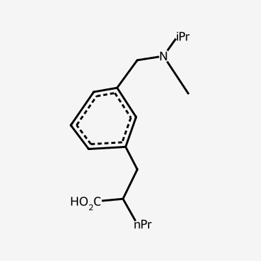 CCCC(Cc1cccc(CN(C)C(C)C)c1)C(=O)O